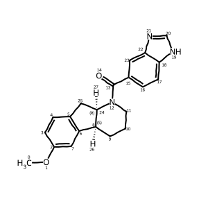 COc1ccc2c(c1)[C@@H]1CCCN(C(=O)c3ccc4[nH]cnc4c3)[C@@H]1C2